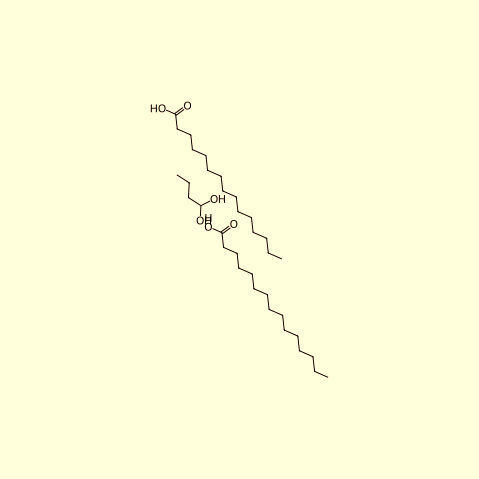 CCCC(O)O.CCCCCCCCCCCCCCC(=O)O.CCCCCCCCCCCCCCC(=O)O